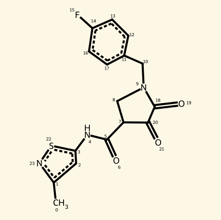 Cc1cc(NC(=O)C2CN(Cc3ccc(F)cc3)C(=O)C2=O)sn1